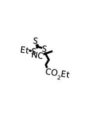 CCOC(=O)CCC(C)(C#N)SC(=S)SCC